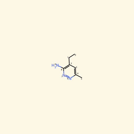 CCc1cc(C)nnc1N